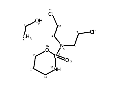 CCO.O=P1(N(CCCl)CCCl)NCCCO1